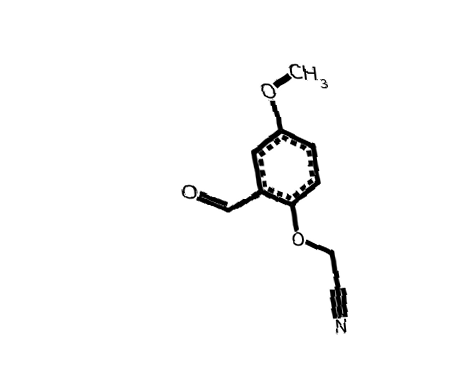 COc1ccc(OCC#N)c(C=O)c1